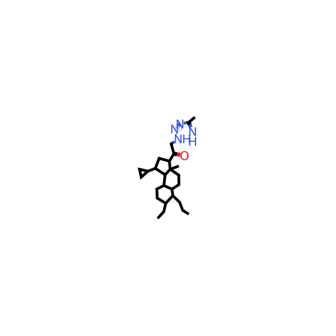 CCCC1C(CC)CCC2C1CCC1(C)C(C(=O)CN/N=N\C(C)=N)CC(C3CC3)C21